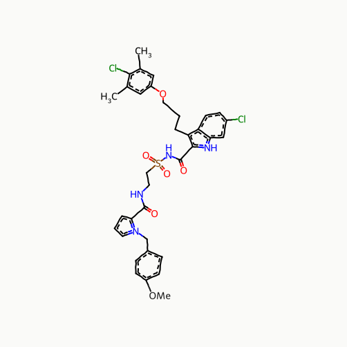 COc1ccc(Cn2cccc2C(=O)NCCS(=O)(=O)NC(=O)c2[nH]c3cc(Cl)ccc3c2CCCOc2cc(C)c(Cl)c(C)c2)cc1